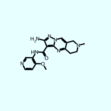 COc1ccncc1NC(=O)c1c(N)nn2cc3c(nc12)CCN(C)C3